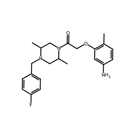 Cc1ccc(N)cc1OCC(=O)N1CC(C)N(Cc2ccc(F)cc2)CC1C